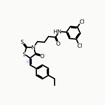 CCc1ccc(/C=C2/SC(=S)N(CCCC(=O)Nc3cc(Cl)cc(Cl)c3)C2=O)cc1